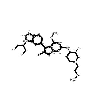 COCCN1CC[C@H](Nc2nc(OC)c3c(-c4ccc5nnn(C(CF)CF)c5c4)c(F)cn3n2)[C@@H](F)C1